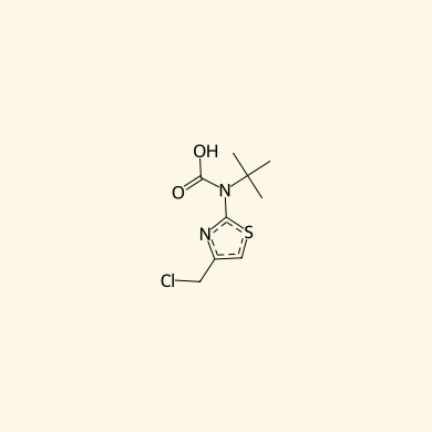 CC(C)(C)N(C(=O)O)c1nc(CCl)cs1